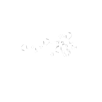 C[C@H](O)[C@H](CO)N1C(=O)c2ccccc2[C@@H](C(O)NCCc2cccc(OCC(=O)OCc3ccccc3)c2)[C@@H]1c1ccc(Cl)cc1Cl